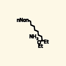 CCCCCCCCCCCCCCCC[C](CC)OCC.N